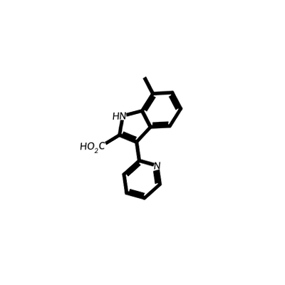 Cc1cccc2c(-c3ccccn3)c(C(=O)O)[nH]c12